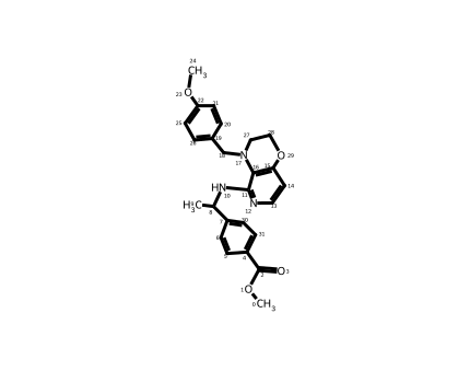 COC(=O)c1ccc(C(C)Nc2nccc3c2N(Cc2ccc(OC)cc2)CCO3)cc1